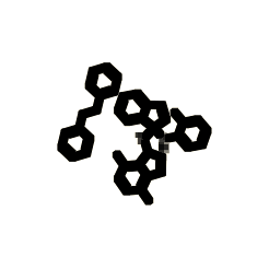 Cc1ccccc1P[C]1([Ti][CH]2C=Cc3c(C)ccc(C)c32)C=Cc2ccccc21.c1ccc(CCc2ccccc2)cc1